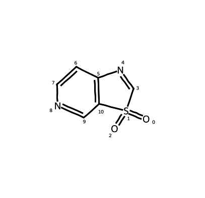 O=S1(=O)C=Nc2ccncc21